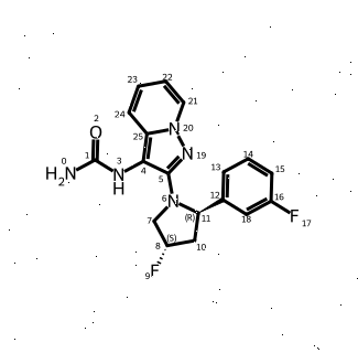 NC(=O)Nc1c(N2C[C@@H](F)C[C@@H]2c2cccc(F)c2)nn2ccccc12